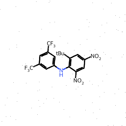 CC(C)(C)c1cc([N+](=O)[O-])cc([N+](=O)[O-])c1Nc1cc(C(F)(F)F)cc(C(F)(F)F)c1